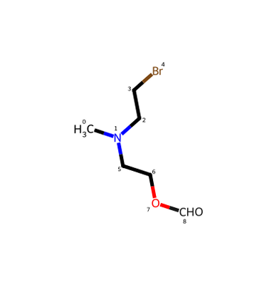 CN(CCBr)CCOC=O